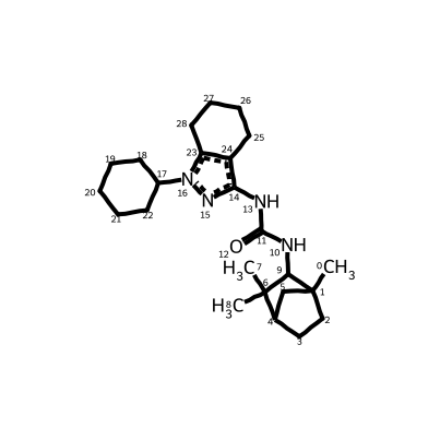 CC12CCC(C1)C(C)(C)C2NC(=O)Nc1nn(C2CCCCC2)c2c1CCCC2